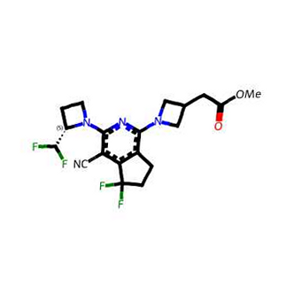 COC(=O)CC1CN(c2nc(N3CC[C@H]3C(F)F)c(C#N)c3c2CCC3(F)F)C1